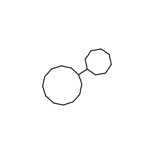 C1CCCCCC([C]2CCCCCCC2)CCCCC1